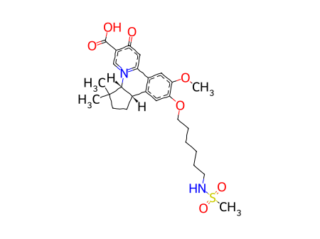 COc1cc2c(cc1OCCCCCCNS(C)(=O)=O)[C@@H]1CCC(C)(C)[C@@H]1n1cc(C(=O)O)c(=O)cc1-2